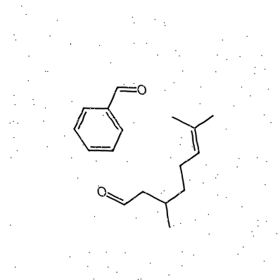 CC(C)=CCCC(C)CC=O.O=Cc1ccccc1